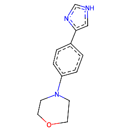 c1nc(-c2ccc(N3CCOCC3)cc2)c[nH]1